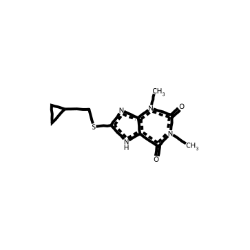 Cn1c(=O)c2[nH]c(SCC3CC3)nc2n(C)c1=O